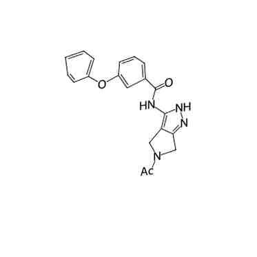 CC(=O)N1Cc2n[nH]c(NC(=O)c3cccc(Oc4ccccc4)c3)c2C1